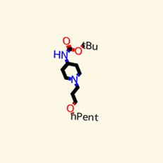 CCCCCOCCCN1CCC(NC(=O)OC(C)(C)C)CC1